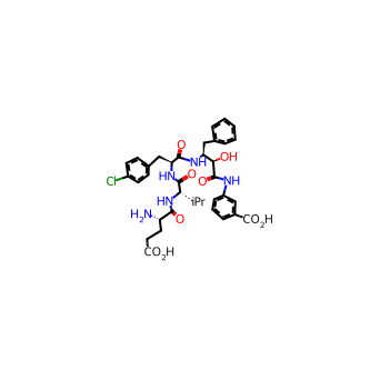 CC(C)[C@H](NC(=O)[C@@H](N)CCC(=O)O)C(=O)N[C@@H](Cc1ccc(Cl)cc1)C(=O)N[C@@H](Cc1ccccc1)[C@@H](O)C(=O)Nc1cccc(C(=O)O)c1